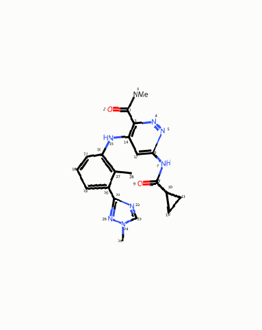 CNC(=O)c1nnc(NC(=O)C2CC2)cc1Nc1cccc(-c2ncn(C)n2)c1C